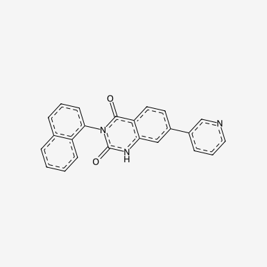 O=c1[nH]c2cc(-c3cccnc3)ccc2c(=O)n1-c1cccc2ccccc12